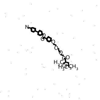 CC(C)CC(C(=O)OCCOCCOCCOc1ccc(C(=O)Oc2ccc(-c3ccc(C#N)cc3)cc2)cc1)C(C)C